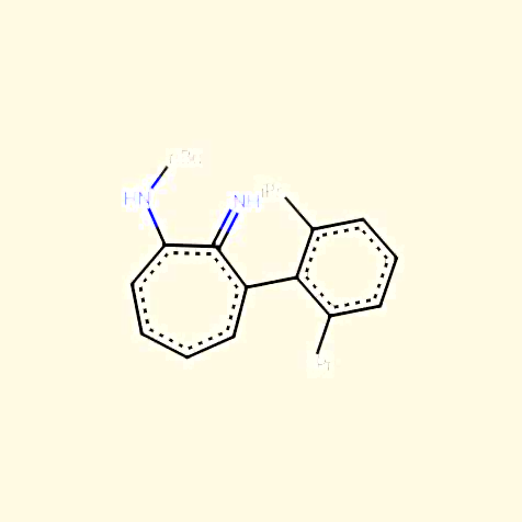 CCCCNc1ccccc(-c2c(C(C)C)cccc2C(C)C)c1=N